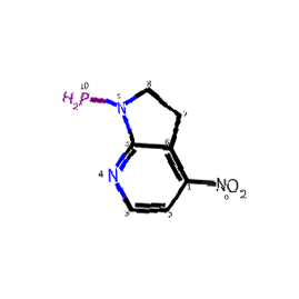 O=[N+]([O-])c1ccnc2c1CCN2P